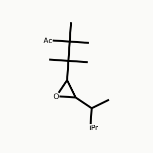 CC(=O)C(C)(C)C(C)(C)C1OC1C(C)C(C)C